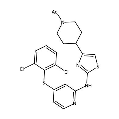 CC(=O)N1CCC(c2csc(Nc3cc(Sc4c(Cl)cccc4Cl)ccn3)n2)CC1